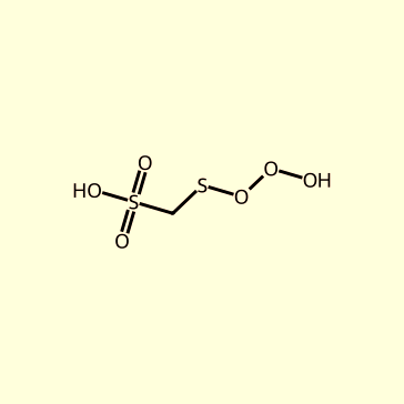 O=S(=O)(O)CSOOO